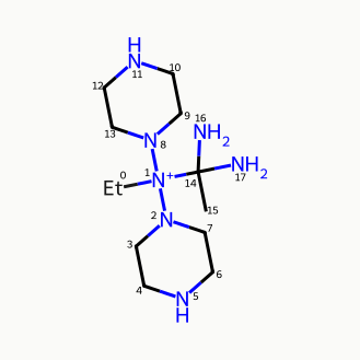 CC[N+](N1CCNCC1)(N1CCNCC1)C(C)(N)N